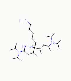 CC(C)N(C(C)C)C(C)CC(C)C(N)(CCCCCN)C(C)CC(C)N(C(C)C)C(C)C